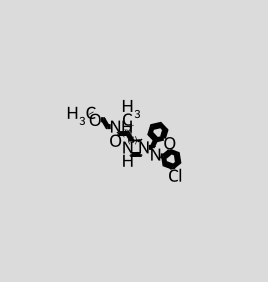 CC[C@@H](C(=O)NCCOC)[C@H]1CN(C2=Nc3cc(Cl)ccc3Oc3ccccc32)CCN1